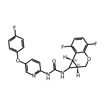 O=C(Nc1ccc(Oc2ccc(F)cc2)cn1)NC1[C@H]2COc3c(F)ccc(F)c3[C@@H]12